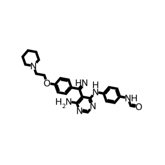 N=C(c1ccc(OCCN2CCCCC2)cc1)c1c(N)ncnc1Nc1ccc(NC=O)cc1